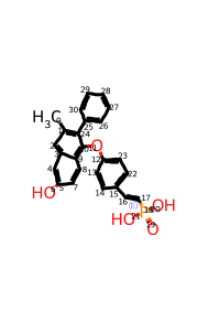 Cc1cc2cc(O)ccc2c(Oc2ccc(/C=C/P(=O)(O)O)cc2)c1-c1ccccc1